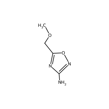 COCc1nc(N)no1